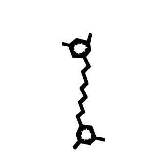 Cc1cc(C)cc(CCCCCCCCc2cc(C)cc(C)c2)c1